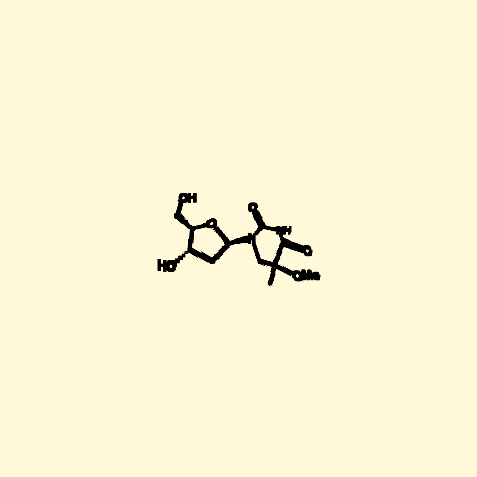 COC1(C)CN([C@H]2C[C@H](O)[C@@H](CO)O2)C(=O)NC1=O